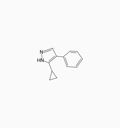 [c]1n[nH]c(C2CC2)c1-c1ccccc1